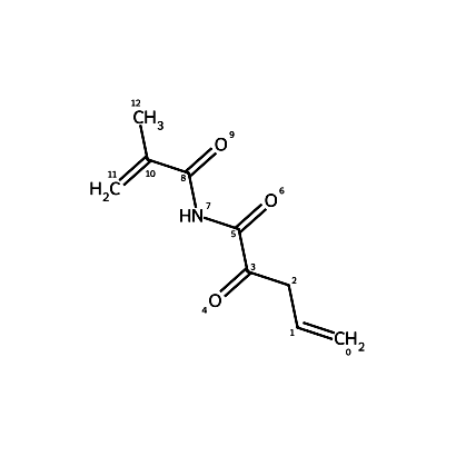 C=CCC(=O)C(=O)NC(=O)C(=C)C